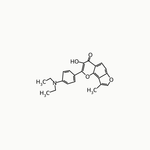 CCN(CC)c1ccc(-c2oc3c(ccc4occ(C)c43)c(=O)c2O)cc1